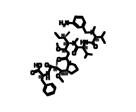 CC[C@H](C)[C@@H]([C@@H](CC(=O)N1CCC[C@H]1[C@H](OC)[C@@H](C)C(=O)N[C@@H](Cc1ccccc1)C(=O)O)OC)N(C)C(=O)[C@@H](NC(=O)[C@H](C(C)C)N(C)Cc1cccc(N)c1)C(C)C